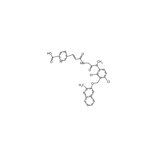 Cc1nc2ccccc2cc1OCc1c(Cl)ccc(N(C)C(=O)CNC(=O)/C=C/c2ccc(C(=O)O)nc2)c1Cl